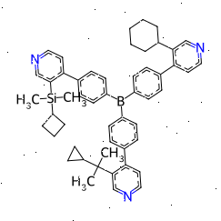 CC(C)(c1cnccc1-c1ccc(B(c2ccc(-c3ccncc3C3CCCCC3)cc2)c2ccc(-c3ccncc3[Si](C)(C)C3CCC3)cc2)cc1)C1CC1